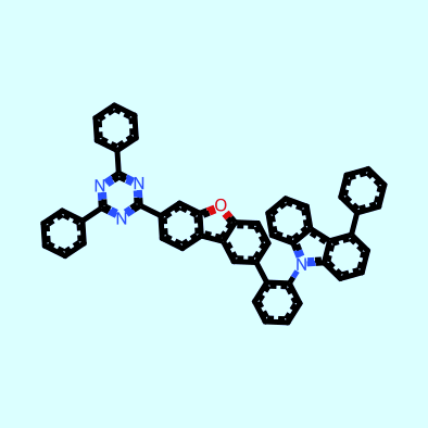 c1ccc(-c2nc(-c3ccccc3)nc(-c3ccc4c(c3)oc3ccc(-c5ccccc5-n5c6ccccc6c6c(-c7ccccc7)cccc65)cc34)n2)cc1